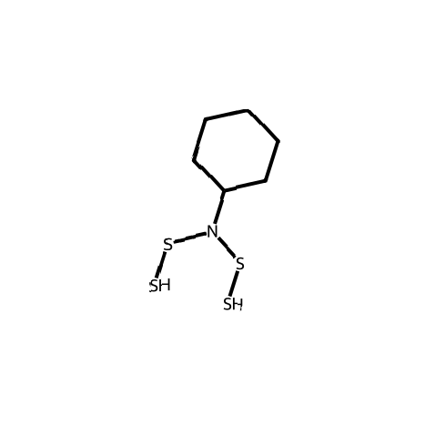 SSN(SS)C1CCCCC1